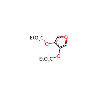 CCOC(=O)Oc1cocc1OC(=O)OCC